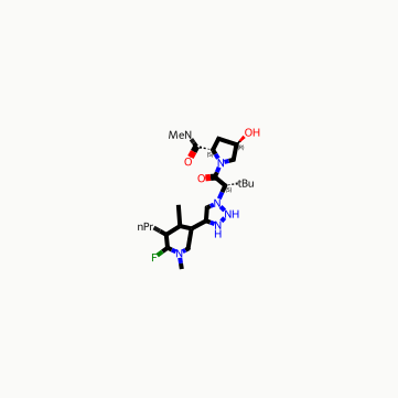 CCCC1C(C)C(C2CN([C@H](C(=O)N3C[C@H](O)C[C@H]3C(=O)NC)C(C)(C)C)NN2)CN(C)C1F